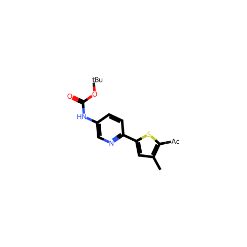 CC(=O)c1sc(-c2ccc(NC(=O)OC(C)(C)C)cn2)cc1C